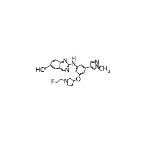 C#Cc1ccc2nc(Nc3cc(OC4CCN(CCF)C4)cc(-c4cnn(C)c4)c3)ncc2c1